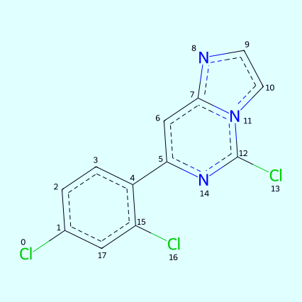 Clc1ccc(-c2cc3nccn3c(Cl)n2)c(Cl)c1